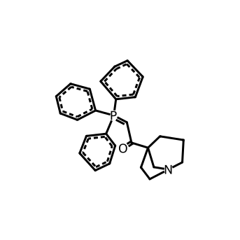 O=C(C=P(c1ccccc1)(c1ccccc1)c1ccccc1)C12CCCN(CC1)C2